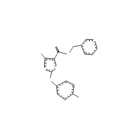 Cc1nc(Nc2ccc(Br)cc2)sc1C(=O)NCc1cccnc1